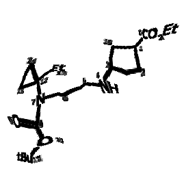 CCOC(=O)C1CC(NCCN(C(=O)OC(C)(C)C)C2(CC)CC2)C1